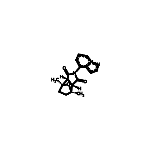 C[C@]12CC[C@](C)(O1)[C@@H]1C(=O)N(c3cccn4nccc34)C(=O)[C@@H]12